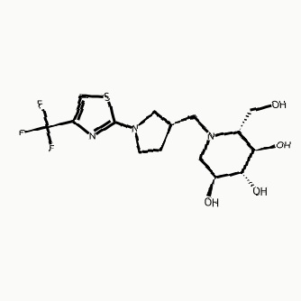 OC[C@@H]1[C@@H](O)[C@H](O)[C@@H](O)CN1C[C@H]1CCN(c2nc(C(F)(F)F)cs2)C1